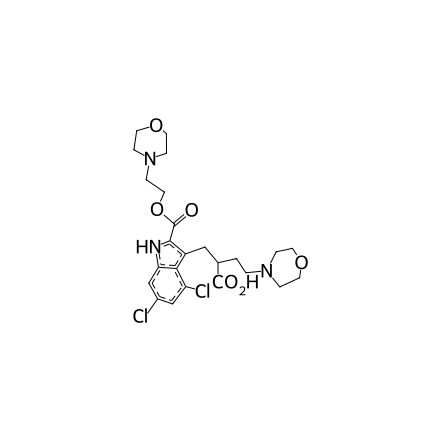 O=C(OCCN1CCOCC1)c1[nH]c2cc(Cl)cc(Cl)c2c1CC(CCN1CCOCC1)C(=O)O